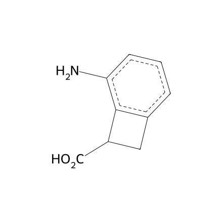 Nc1cccc2c1C(C(=O)O)C2